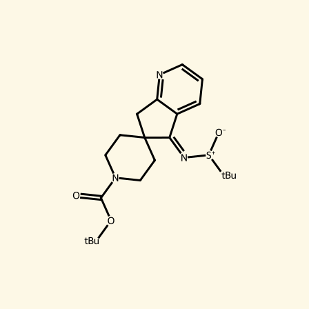 CC(C)(C)OC(=O)N1CCC2(CC1)Cc1ncccc1C2=N[S+]([O-])C(C)(C)C